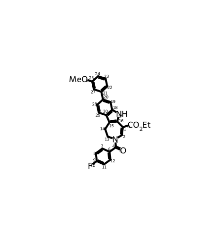 CCOC(=O)C1=CN(C(=O)c2ccc(F)cc2)CCc2c1[nH]c1cc(-c3cccc(OC)c3)ccc21